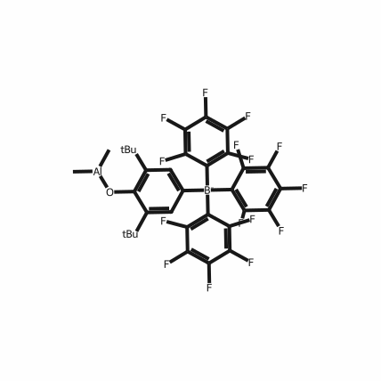 [CH3][Al]([CH3])[O]c1c(C(C)(C)C)cc([B-](c2c(F)c(F)c(F)c(F)c2F)(c2c(F)c(F)c(F)c(F)c2F)c2c(F)c(F)c(F)c(F)c2F)cc1C(C)(C)C